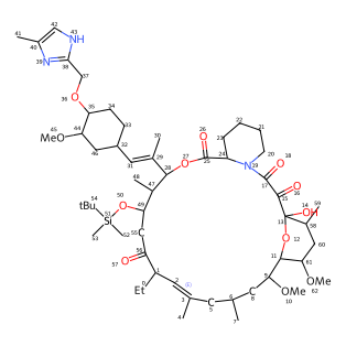 CCC1/C=C(\C)CC(C)CC(OC)C2OC(O)(C(=O)C(=O)N3CCCCC3C(=O)OC(C(C)=CC3CCC(OCc4nc(C)c[nH]4)C(OC)C3)C(C)C(O[Si](C)(C)C(C)(C)C)CC1=O)C(C)CC2OC